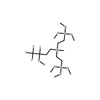 CO[Si](CC[Si](C)(CCC(F)(OF)C(F)(F)F)CC[Si](OC)(OC)OC)(OC)OC